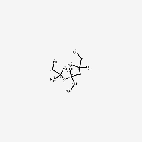 CCC(C)(C)O[Si](C)(NC)OC(C)(C)CC